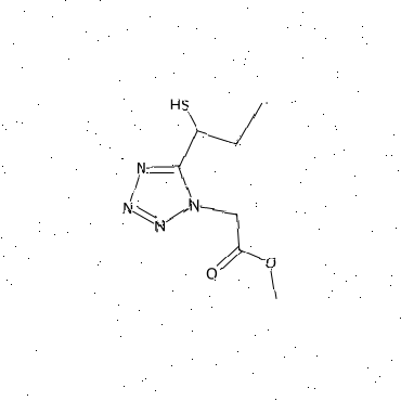 [CH2]CC(S)c1nnnn1CC(=O)OC